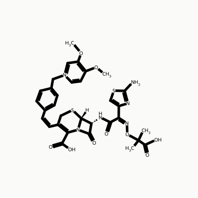 COc1cc[n+](Cc2ccc(/C=C\C3=C(C(=O)O)N4C(=O)[C@@H](NC(=O)/C(=N\OC(C)(C)C(=O)O)c5csc(N)n5)[C@H]4SC3)cc2)cc1OC